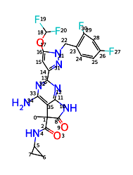 CC1(C(=O)NC2CC2)C(=O)Nc2nc(-c3cc(OC(F)F)n(Cc4ccc(F)cc4F)n3)nc(N)c21